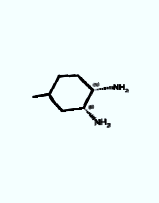 CC1CC[C@H](N)[C@H](N)C1